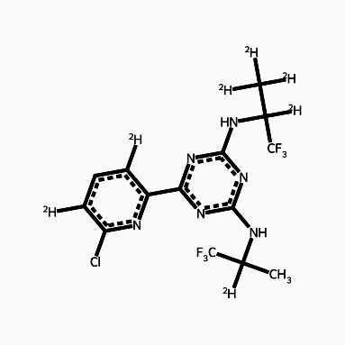 [2H]c1cc([2H])c(-c2nc(NC([2H])(C)C(F)(F)F)nc(NC([2H])(C([2H])([2H])[2H])C(F)(F)F)n2)nc1Cl